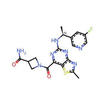 Cc1nc2nc(N[C@@H](C)c3cncc(F)c3)nc(C(=O)N3CC(C(N)=O)C3)c2s1